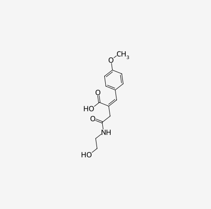 COc1ccc(C=C(CC(=O)NCCO)C(=O)O)cc1